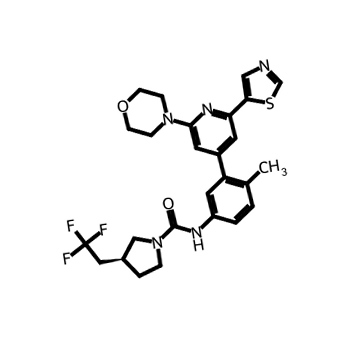 Cc1ccc(NC(=O)N2CC[C@@H](CC(F)(F)F)C2)cc1-c1cc(-c2cncs2)nc(N2CCOCC2)c1